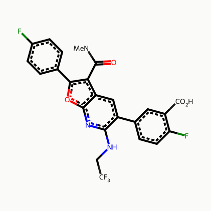 CNC(=O)c1c(-c2ccc(F)cc2)oc2nc(NCC(F)(F)F)c(-c3ccc(F)c(C(=O)O)c3)cc12